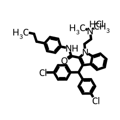 CCCc1ccc(NC(=O)c2c(C(c3ccc(Cl)cc3)c3ccc(Cl)cc3)c3ccccc3n2CCN(C)C)cc1.Cl